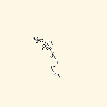 CCCCC/C=C\C/C=C\C/C=C\CCCCC(=O)OCCCOC(=O)CC1=C(C)/C(=C/c2ccc([S+](C)[O-])cc2)c2ccc(F)cc21